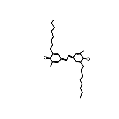 CCCCCCCCC1=C/C(=C\C=C2\C=C(C)C(=O)C(CCCCCCCC)=C2)C=C(C)C1=O